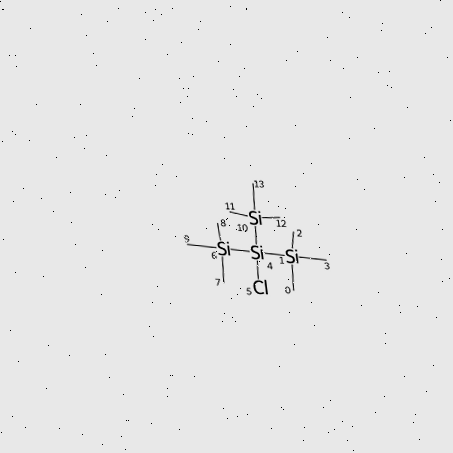 C[Si](C)(C)[Si](Cl)([Si](C)(C)C)[Si](C)(C)C